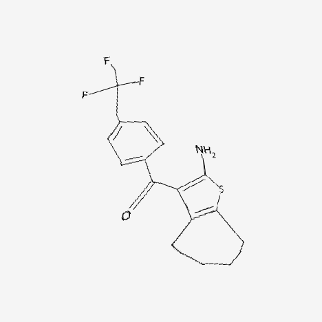 Nc1sc2c(c1C(=O)c1ccc(C(F)(F)F)cc1)CCCC2